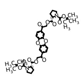 CC(C)(C)OC(=O)N1CCC[C@H]1C(=O)OCC(=O)c1ccc2c(c1)Oc1ccc(C(=O)COC(=O)[C@@H]3CCCN3C(=O)OC(C)(C)C)cc1O2